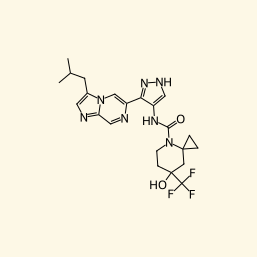 CC(C)Cc1cnc2cnc(-c3n[nH]cc3NC(=O)N3CCC(O)(C(F)(F)F)CC34CC4)cn12